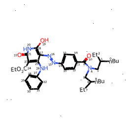 CCCCC(CC)CN(CC(CC)CCCC)C(=O)c1ccc(/N=N/c2c(O)[nH]c(=O)c(C(=O)OCC)c2Nc2ccccc2)cc1